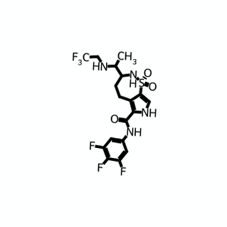 CC(NCC(F)(F)F)C1CCc2c(c[nH]c2C(=O)Nc2cc(F)c(F)c(F)c2)S(=O)(=O)N1